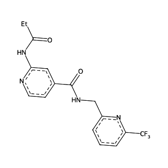 CCC(=O)Nc1cc(C(=O)NCc2cccc(C(F)(F)F)n2)ccn1